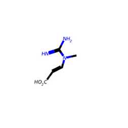 CN(/C=C/C(=O)O)C(=N)N